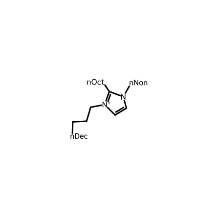 CCCCCCCCCCCCC[n+]1ccn(CCCCCCCCC)c1CCCCCCCC